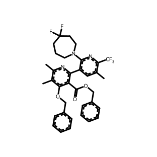 Cc1cc(-c2nc(C)c(C)c(OCc3ccccc3)c2C(=O)OCc2ccccc2)c(N2CCCC(F)(F)CC2)nc1C(F)(F)F